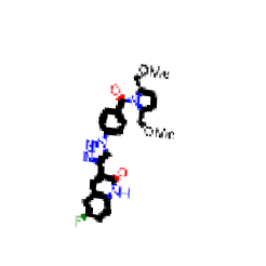 COCC1CC[C@H](COC)N1C(=O)c1ccc(-n2cc(-c3cc4cc(F)ccc4[nH]c3=O)nn2)cc1